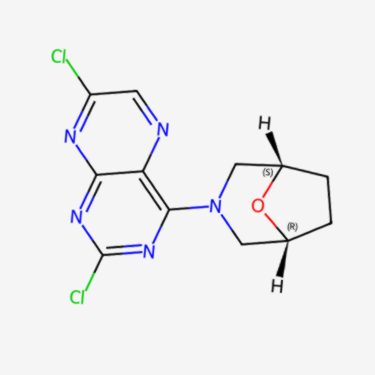 Clc1cnc2c(N3C[C@H]4CC[C@@H](C3)O4)nc(Cl)nc2n1